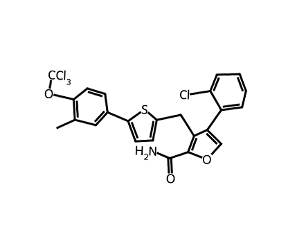 Cc1cc(-c2ccc(Cc3c(-c4ccccc4Cl)coc3C(N)=O)s2)ccc1OC(Cl)(Cl)Cl